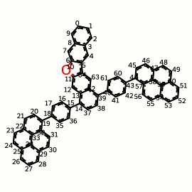 c1ccc2cc3c(cc2c1)oc1cc2c(-c4ccc(-c5ccc6ccc7cccc8ccc5c6c78)cc4)ccc(-c4ccc(-c5ccc6ccc7cccc8ccc5c6c78)cc4)c2cc13